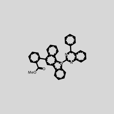 COC(=O)c1ccccc1-c1cc2c3ccccc3n(-c3nc(-c4ccccc4)c4ccccc4n3)c2c2ccccc12